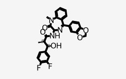 C[C@@H](C(=O)NC1N=C(c2ccc3c(c2)OCO3)c2ccccc2N(C)C1=O)[C@@H](O)c1ccc(F)c(F)c1